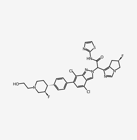 O=C(Nc1nccs1)C(c1ncn2c1C[C@@H](F)C2)n1cc2c(Cl)cc(-c3ccc([C@H]4CCN(CCO)C[C@@H]4F)cc3)c(Cl)c2n1